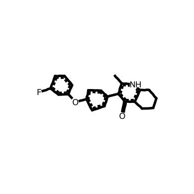 Cc1[nH]c2c(c(=O)c1-c1ccc(Oc3cccc(F)c3)cc1)CCCC2